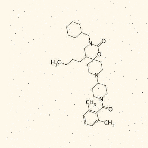 CCCCC1CN(CC2CCCCC2)C(=O)OC12CCN(C1CCN(C(=O)c3c(C)cccc3C)CC1)CC2